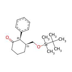 CC(C)(C)[Si](C)(C)OC[C@H]1CCCC(=O)[C@H]1c1ccccc1